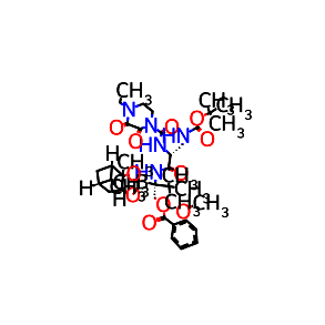 CCN1CCN(C(=O)N[C@H](CNC(=O)OC(C)(C)C)C(=O)N[C@](COC(=O)c2ccccc2OC)(B2O[C@@H]3C[C@@H]4C[C@@H](C4(C)C)[C@]3(C)O2)C(C)(C)C)C(=O)C1=O